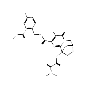 CNC(=O)c1cc(F)ccc1CNC(=O)c1nc2n(c(=O)c1O)CC1CCC2(NC(=O)C(=O)N(C)C)CC1